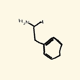 NC(I)CC1=CCCC=C1